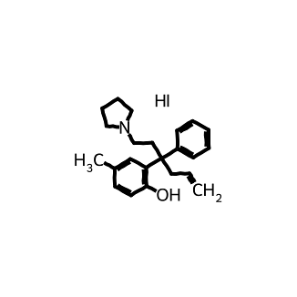 C=CCC(CCN1CCCC1)(c1ccccc1)c1cc(C)ccc1O.I